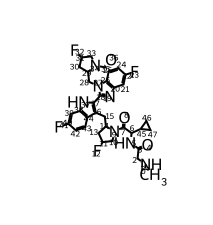 CNCC(=O)NC(C(=O)N1CC(F)CC1Cc1c(-c2nc3cc(F)ccc3n2CC2CC(F)CN2C=O)[nH]c2cc(F)ccc12)C1CC1